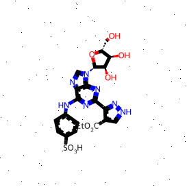 CCOC(=O)c1c[nH]nc1-c1nc(Nc2ccc(S(=O)(=O)O)cc2)c2ncn([C@@H]3O[C@H](CO)[C@@H](O)[C@H]3O)c2n1